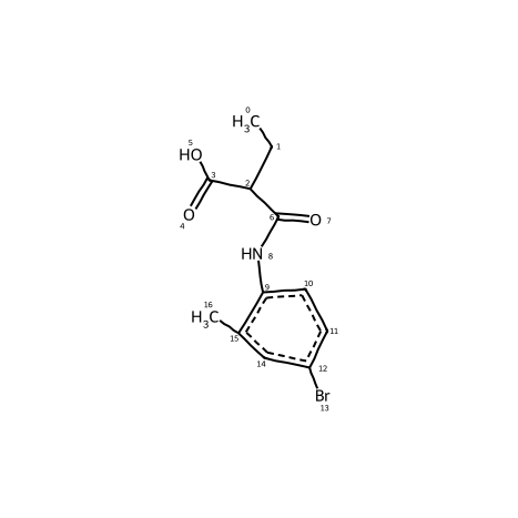 CCC(C(=O)O)C(=O)Nc1ccc(Br)cc1C